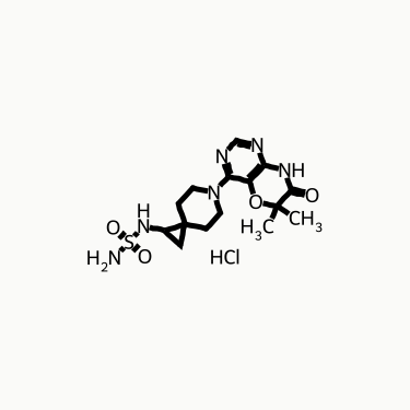 CC1(C)Oc2c(ncnc2N2CCC3(CC2)CC3NS(N)(=O)=O)NC1=O.Cl